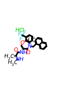 CN[C@@H](C)C(=O)N[C@H]1COc2c(cccc2C(F)(F)F)N(Cc2c(C)ccc3ccccc23)C1=O.Cl